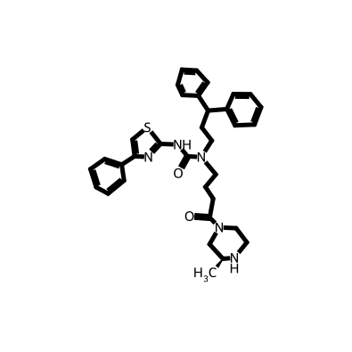 C[C@H]1CN(C(=O)CCCN(CCC(c2ccccc2)c2ccccc2)C(=O)Nc2nc(-c3ccccc3)cs2)CCN1